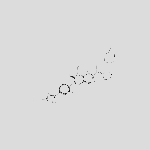 CCn1c(=O)c(-c2ccc(-c3noc(C)n3)cc2Cl)cc2cnc(NC3COC[C@@H]3N3CCN(C)CC3)nc21